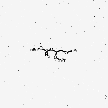 CCCCO[SiH2]OC(COCCC)OCCC